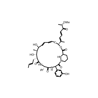 C/C=C/C[C@H]1C(=O)N[C@@H](C(C)C)C(=O)NC(c2cccc(O)c2)C(=O)N2CCCC(N2)C(=O)O[C@H](/C(C)=C/C=C/C(=O)N(C)OC)C/C=C/C=C/[C@H](O)[C@H](C)[C@H]1O